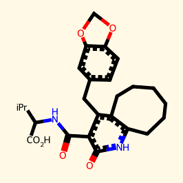 CC(C)C(NC(=O)c1c(Cc2ccc3c(c2)OCO3)c2c([nH]c1=O)CCCCCC2)C(=O)O